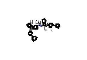 C=N/C(=C\c1c(C)n(-c2ccc(-c3ccccc3)cc2)c2ccccc12)c1ccc2c(c1)c1ccccc1n2-c1cccc(-c2ccccc2)c1